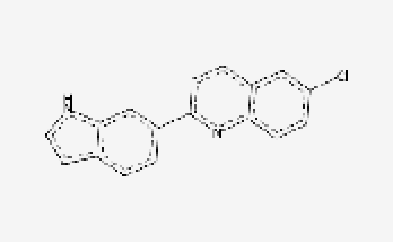 Clc1ccc2nc(-c3ccc4cc[nH]c4c3)ccc2c1